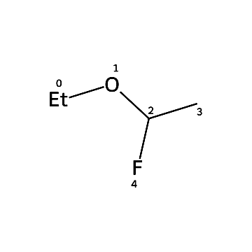 CCOC(C)F